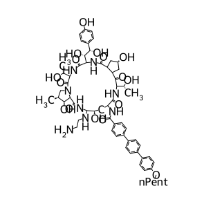 CCCCCOc1ccc(-c2ccc(-c3ccc(C(=O)N[C@H]4C[C@@H](O)C(NCCN)NC(=O)C5[C@@H](O)[C@@H](C)CN5C(=O)C([C@@H](C)O)NC(=O)C([C@H](O)[C@@H](O)c5ccc(O)cc5)NC(=O)C5C[C@@H](O)CC5C(=O)C([C@@H](C)O)NC4=O)cc3)cc2)cc1